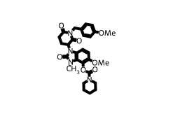 COc1ccc(CN2C(=O)CCC(n3c(=O)n(C)c4c(OC(=O)N5CCCCC5)c(OC)ccc43)C2=O)cc1